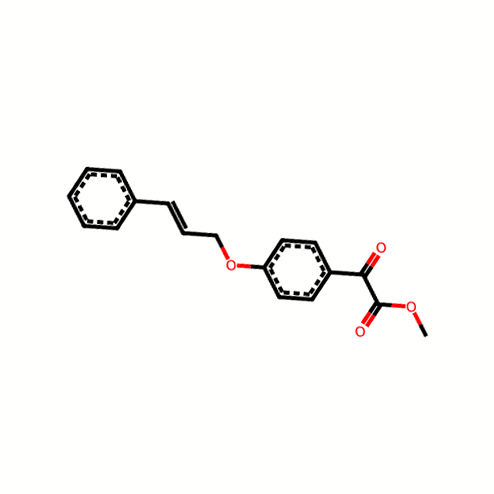 COC(=O)C(=O)c1ccc(OCC=Cc2ccccc2)cc1